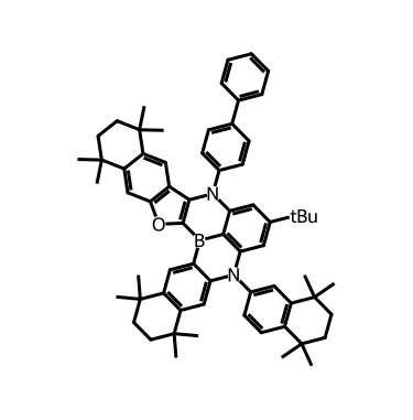 CC(C)(C)c1cc2c3c(c1)N(c1ccc(-c4ccccc4)cc1)c1c(oc4cc5c(cc14)C(C)(C)CCC5(C)C)B3c1cc3c(cc1N2c1ccc2c(c1)C(C)(C)CCC2(C)C)C(C)(C)CCC3(C)C